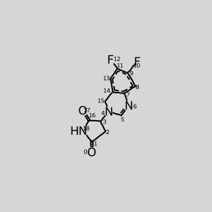 O=C1CC(N2C=Nc3cc(F)c(F)cc3C2)C(=O)N1